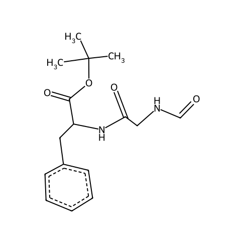 CC(C)(C)OC(=O)C(Cc1ccccc1)NC(=O)CNC=O